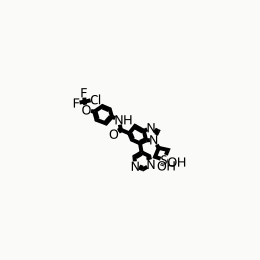 O=C(Nc1ccc(OC(F)(F)Cl)cc1)c1cc(-c2cncnc2)c2c(c1)ncn2C1CS(O)(O)C1